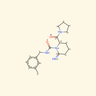 Cc1cccc(CNC(=O)N2C(=N)CCCC2C(=O)N2CCCC2)c1